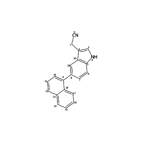 N#CCc1c[nH]c2ccc(-c3cccc4ccccc34)cc12